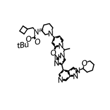 CC(n1cc(-c2cncc3nn(C4CCCCO4)cc23)nn1)n1ccc(N2CCC[C@@H](N(CC3CCC3)C(=O)OC(C)(C)C)C2)cc1=O